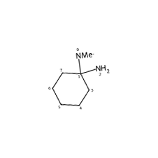 C[N]C1(N)CCCCC1